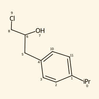 CC(C)c1ccc(CC(O)CCl)cc1